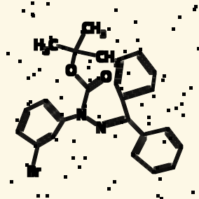 CC(C)(C)OC(=O)N(N=C(c1ccccc1)c1ccccc1)c1cccc(Br)c1